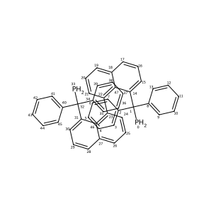 PC(c1ccccc1)(c1ccccc1)c1cccc2cccc(-c3cccc4cccc(C(P)(c5ccccc5)c5ccccc5)c34)c12